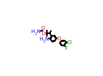 CC(c1cc(Oc2ccc(F)c(Cl)c2)ccc1N)C(C)(C)OC(N)=O